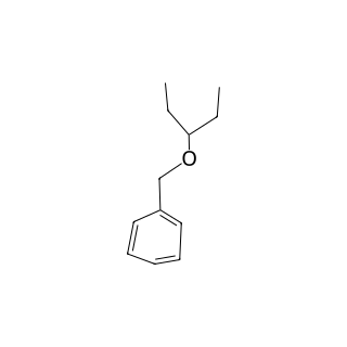 CCC(CC)OCc1ccccc1